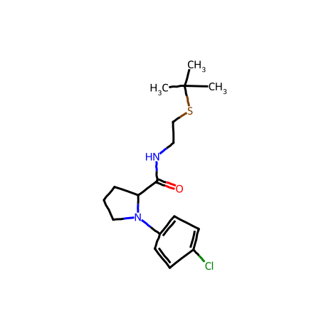 CC(C)(C)SCCNC(=O)C1CCCN1c1ccc(Cl)cc1